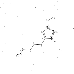 CCn1cc(CCCCCl)nn1